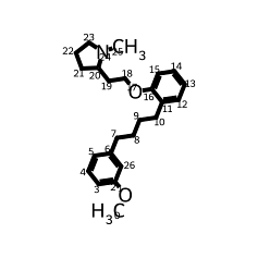 COc1cccc(CCCCc2ccccc2OCCC2CCCN2C)c1